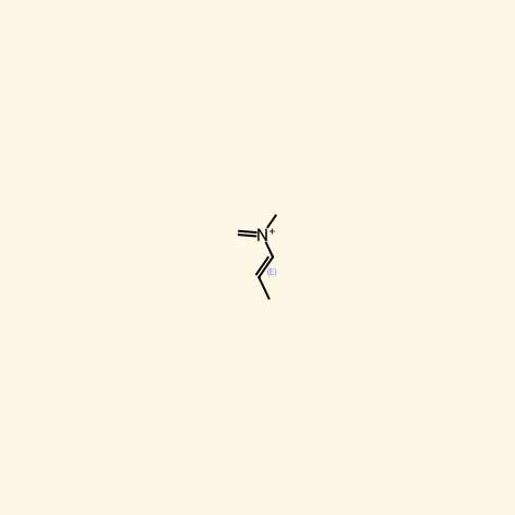 C=[N+](C)/C=C/C